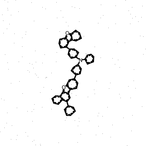 c1ccc(-c2cc3c4ccc(-c5ccc(N(c6ccccc6)c6ccc(-c7cccc8oc9ccccc9c78)cc6)cc5)cc4oc3c3ccccc23)cc1